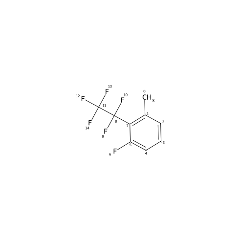 Cc1c[c]cc(F)c1C(F)(F)C(F)(F)F